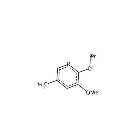 COc1cc(C)cnc1OC(C)C